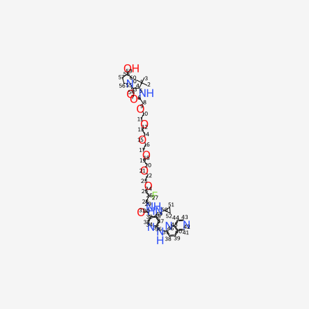 CC(C)(C)[C@H](NC(=O)COCCOCCOCCOCCOCCOCC(F)CNC(=O)c1cnc(Nc2ccc3cnccc3n2)cc1NC1CC1)C(=O)N1CC[C@@H](O)C1